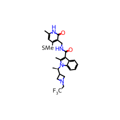 CSc1cc(C)[nH]c(=O)c1CNC(=O)c1c(C)n([C@H](C)C2CN(CC(F)(F)F)C2)c2ccccc12